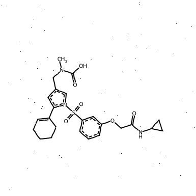 CN(Cc1cc(C2=CCCCC2)n(S(=O)(=O)c2cccc(OCC(=O)NC3CC3)c2)c1)C(=O)O